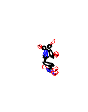 COC1=CC=C(C(c2ccc(OC)cc2)(c2ccc(OC)cc2)N2CC(c3ccc(C(OC)C(=O)N(C)OC)cc3)C=N2)CC1